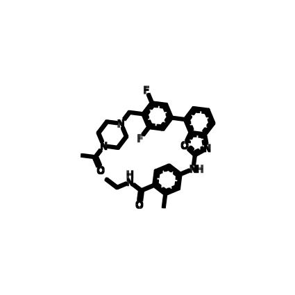 CCNC(=O)c1ccc(Nc2nc3cccc(-c4cc(F)c(CN5CCN(C(C)=O)CC5)c(F)c4)c3o2)cc1C